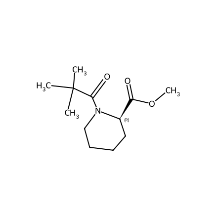 COC(=O)[C@H]1CCCCN1C(=O)C(C)(C)C